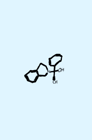 C#CC(O)(c1ccccc1)N1CCc2ccccc2C1